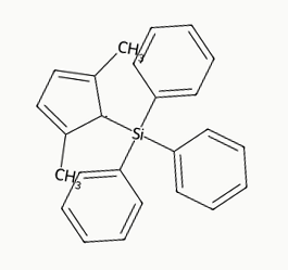 CC1=CC=C(C)[C]1[Si](c1ccccc1)(c1ccccc1)c1ccccc1